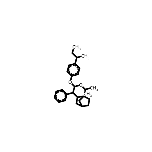 CCC(C)c1ccc(OC(OC(C)C)C(c2ccccc2)C2CC3CCC2C3)cc1